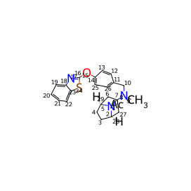 CC(=O)N1[C@@H]2CC[C@H]1CC(N(C)Cc1ccc(Oc3nc4ccccc4s3)cc1)C2